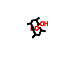 CC(C)CC(C)C#CC(C)CC(C)C(O)O